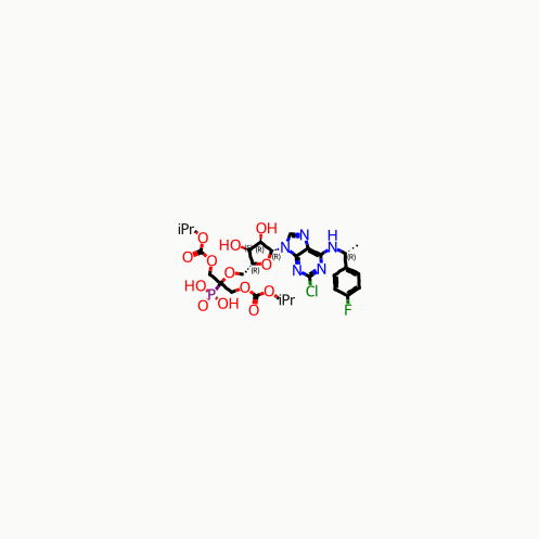 CC(C)OC(=O)OCC(COC(=O)OC(C)C)(OC[C@H]1O[C@@H](n2cnc3c(N[C@H](C)c4ccc(F)cc4)nc(Cl)nc32)[C@H](O)[C@@H]1O)P(=O)(O)O